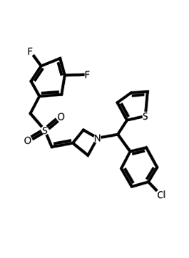 O=S(=O)(C=C1CN(C(c2ccc(Cl)cc2)c2cccs2)C1)Cc1cc(F)cc(F)c1